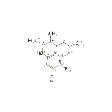 CCCCC(C)C(C)Bc1cc(F)c(F)c(F)c1